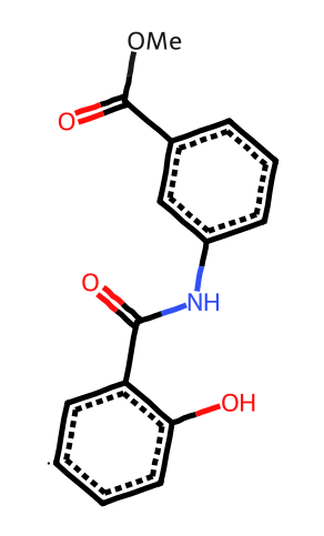 COC(=O)c1cccc(NC(=O)c2c[c]ccc2O)c1